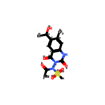 CCCCC(=O)N(n1c(=O)[nH]c2cc(C(F)(F)F)c(C(O)CC)cc2c1=O)S(C)(=O)=O